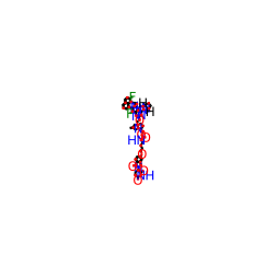 C#Cc1c(F)ccc2cccc(-c3ncc4c(N5C[C@H]6CC[C@@H](C5)N6)nc(OC[C@@]56CC[C@@H](COC(=O)NCCCCOc7ccc8c(c7)CN(C7CCC(=O)NC7=O)C8=O)N5CC(=C)C6)nc4c3F)c12